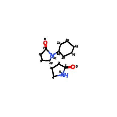 O=C1CCCN1.O=C1CCCN1C1CCCCC1